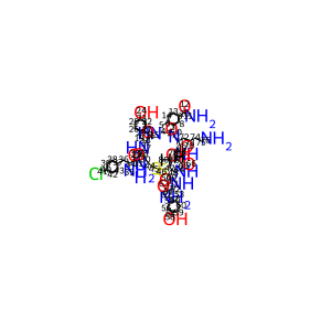 CN1C(=O)[C@@H](Cc2ccc(C(N)=O)cc2)NC(=O)[C@H](Cc2ccc(O)cc2)NC(=O)[C@H](NC(=O)[C@@H](N)Cc2ccc(Cl)cc2)CSSC2[C@@H](C(=O)N[C@H](Cc3ccc(O)cc3)C(N)=O)NC(=O)[C@@H](NC(=O)[C@@H]1CCCCN)[C@@H]2O